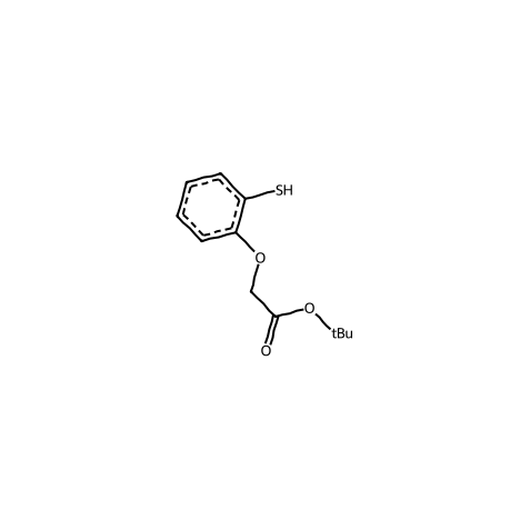 CC(C)(C)OC(=O)COc1ccccc1S